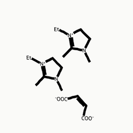 CC[N+]1=C(C)N(C)CC1.CC[N+]1=C(C)N(C)CC1.O=C([O-])/C=C\C(=O)[O-]